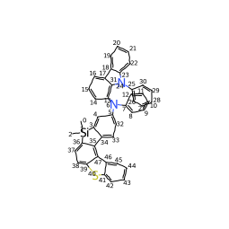 C[Si]1(C)c2cc(N(c3ccccc3)c3cccc4c5ccccc5n(-c5ccccc5)c34)ccc2-c2c1ccc1sc3ccccc3c21